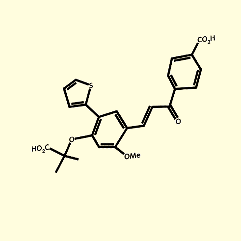 COc1cc(OC(C)(C)C(=O)O)c(-c2cccs2)cc1/C=C/C(=O)c1ccc(C(=O)O)cc1